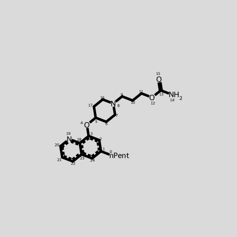 CCCCCc1cc(OC2CCN(CCCOC(N)=O)CC2)c2ncccc2c1